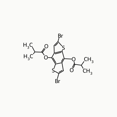 CC(C)C(=O)Oc1c2cc(Br)sc2c(OC(=O)C(C)C)c2cc(Br)sc12